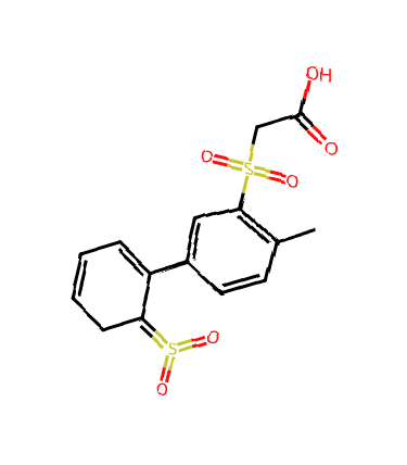 Cc1ccc(C2=CC=CCC2=S(=O)=O)cc1S(=O)(=O)CC(=O)O